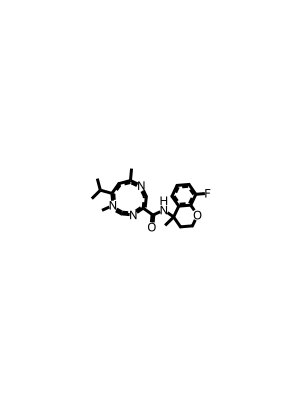 Cc1cc(C(C)C)n(C)cnc(C(=O)NC2(C)CCOc3c(F)cccc32)cn1